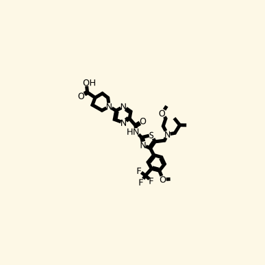 COCCN(Cc1sc(NC(=O)c2cnc(N3CCC(C(=O)O)CC3)cn2)nc1-c1ccc(OC)c(C(F)(F)F)c1)CC(C)C